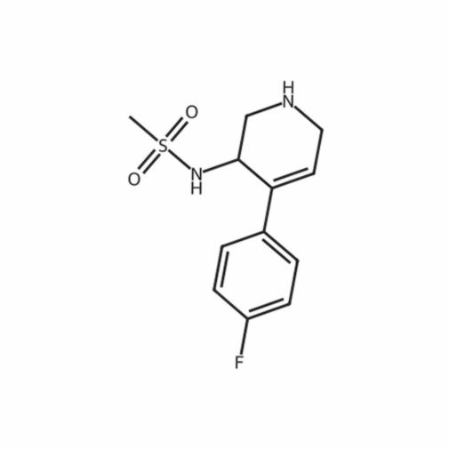 CS(=O)(=O)NC1CNCC=C1c1ccc(F)cc1